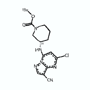 CC(C)(C)OC(=O)N1CCC[C@H](Nc2cc(Cl)nc3c(C#N)cnn23)C1